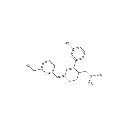 CN(C)CC1CCC(=Cc2cccc(CO)c2)C=C1c1cccc(O)c1